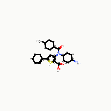 CC1CCC(C(=O)N(c2cc(C3=CCCCC3)sc2C(=O)O)C2CCC(N)CC2)CC1